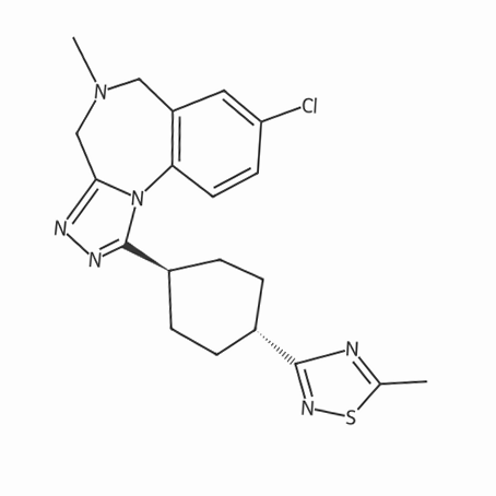 Cc1nc([C@H]2CC[C@H](c3nnc4n3-c3ccc(Cl)cc3CN(C)C4)CC2)ns1